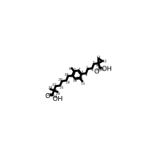 Cc1cc(CCCCC2(C(=O)O)CC2)c(C)cc1CCCCCC(C)(C)C(=O)O